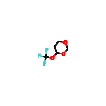 FC(F)(F)OC1CCOCO1